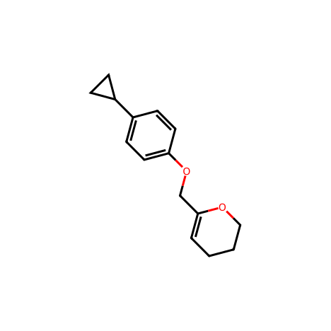 C1=C(COc2ccc(C3CC3)cc2)OCCC1